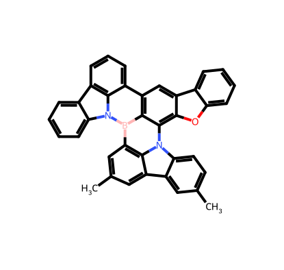 Cc1ccc2c(c1)c1cc(C)cc3c1n2-c1c2c(cc4c1oc1ccccc14)-c1cccc4c5ccccc5n(c14)B23